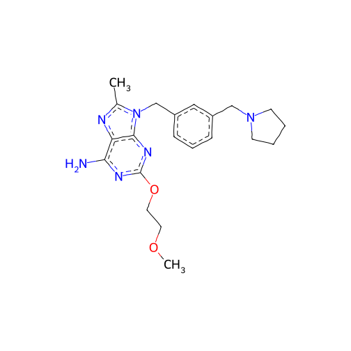 COCCOc1nc(N)c2nc(C)n(Cc3cccc(CN4CCCC4)c3)c2n1